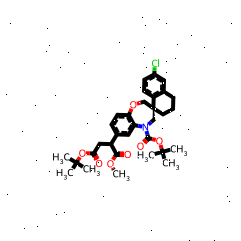 COC(=O)C(CC(=O)OC(C)(C)C)c1ccc2c(c1)N(C(=O)OC(C)(C)C)C[C@@]1(CCCc3cc(Cl)ccc31)CO2